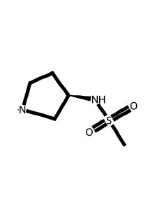 CS(=O)(=O)N[C@@H]1CC[N]C1